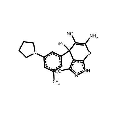 Cc1n[nH]c2c1C(c1cc(N3CCCC3)cc(C(F)(F)F)c1)(C(C)C)C(C#N)=C(N)O2